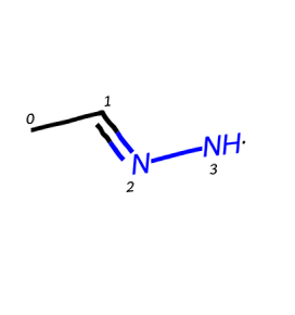 CC=N[NH]